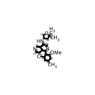 COc1cc(C)cc(Cl)c1-c1nnc(N[C@@H]2COC(C)(C)C2)c2cnccc12